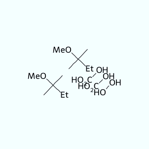 CCC(C)(C)OC.CCC(C)(C)OC.O=C(O)O.O=C(O)O.OO